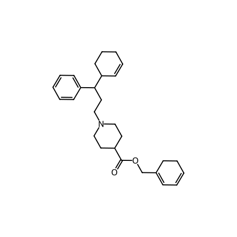 O=C(OCC1=CC=CCC1)C1CCN(CCC(c2ccccc2)C2C=CCCC2)CC1